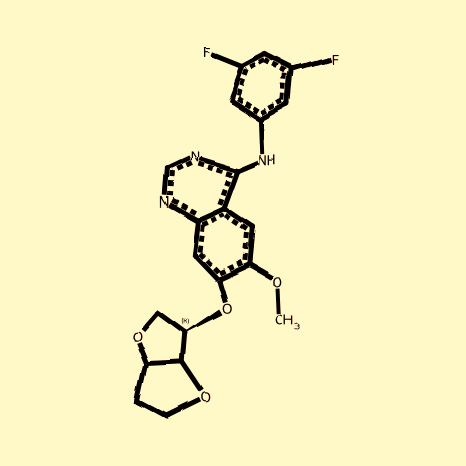 COc1cc2c(Nc3cc(F)cc(F)c3)ncnc2cc1O[C@@H]1COC2CCOC21